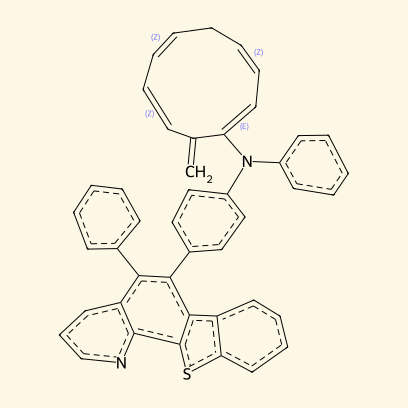 C=C1/C=C\C=C/C/C=C\C=C/1N(c1ccccc1)c1ccc(-c2c(-c3ccccc3)c3cccnc3c3sc4ccccc4c23)cc1